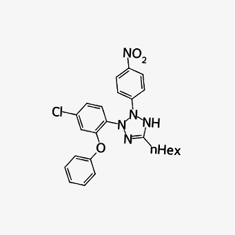 CCCCCCC1=NN(c2ccc(Cl)cc2Oc2ccccc2)N(c2ccc([N+](=O)[O-])cc2)N1